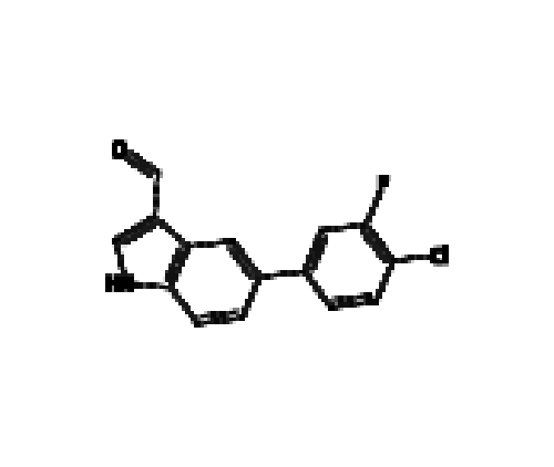 O=Cc1c[nH]c2ccc(-c3ccc(Cl)c(F)c3)cc12